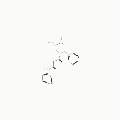 CN(CCO)C[C@H](c1ccccc1)N(C)C(=O)CC(=O)Nc1ccccc1